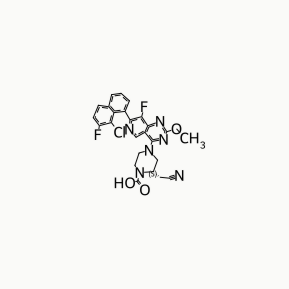 COc1nc(N2CCN(C(=O)O)[C@@H](CC#N)C2)c2cnc(-c3cccc4ccc(F)c(Cl)c34)c(F)c2n1